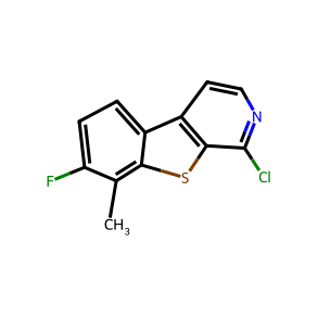 Cc1c(F)ccc2c1sc1c(Cl)nccc12